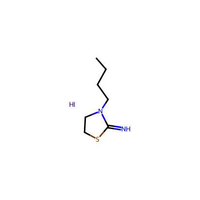 CCCCN1CCSC1=N.I